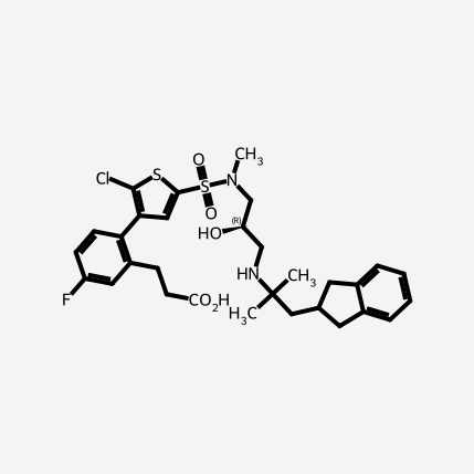 CN(C[C@H](O)CNC(C)(C)CC1Cc2ccccc2C1)S(=O)(=O)c1cc(-c2ccc(F)cc2CCC(=O)O)c(Cl)s1